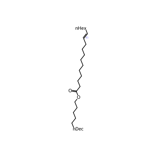 CCCCCC/C=C/CCCCCCCCCC(=O)OCCCCCCCCCCCCCCC